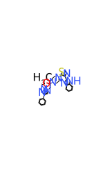 CC1CN(c2scnc2-c2nc3ccccc3[nH]2)CCN1C(=O)Cn1cc(-c2ccccc2)nn1